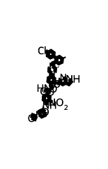 C[C@H]1CCC(CN2CCN(c3ccc(C(=O)NS(=O)(=O)c4ccc(NC[C@H]5CN(C6COC6)CCO5)c([N+](=O)[O-])c4)c(Oc4cnc5[nH]ccc5c4)c3)C[C@H]2C)=C(c2ccc(Cl)cc2)C1